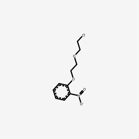 O=[N+]([O-])c1ccccc1OCCOCCCl